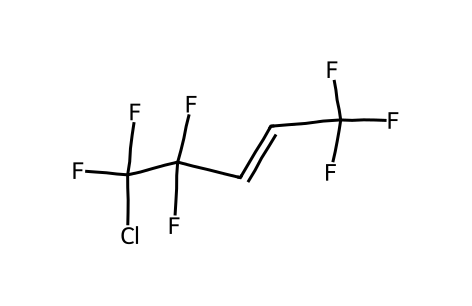 FC(F)(F)C=CC(F)(F)C(F)(F)Cl